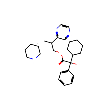 O=C(OCC(C[C@H]1CCCNC1)c1cnccn1)C(O)(c1ccccc1)C1CCCCC1